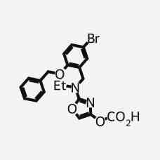 CCN(Cc1cc(Br)ccc1OCc1ccccc1)c1nc(OC(=O)O)co1